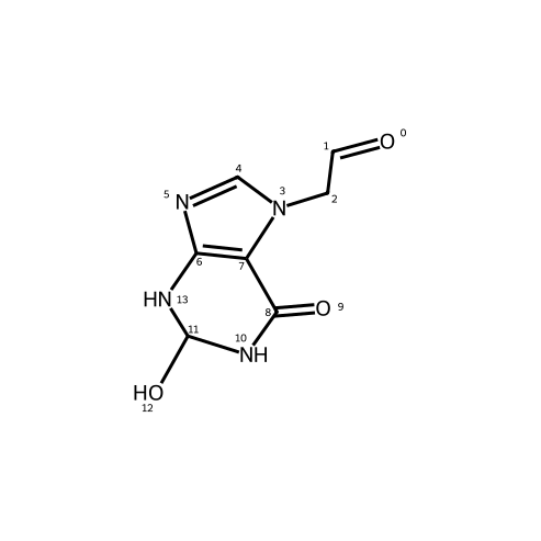 O=CCn1cnc2c1C(=O)NC(O)N2